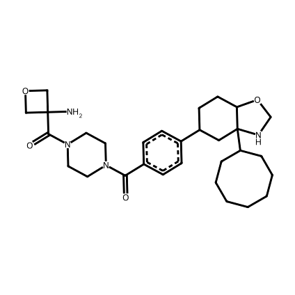 NC1(C(=O)N2CCN(C(=O)c3ccc(C4CCC5OCNC5(C5CCCCCCC5)C4)cc3)CC2)COC1